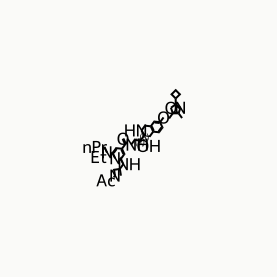 CCCN(CC)c1cc(C(=O)NC[C@@H](O)[C@@H]2Cc3ccc(OCc4oc(C5CCC5)nc4C)cc3CN2)cc(NC2CN(C(C)=O)C2)n1